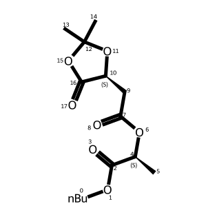 CCCCOC(=O)[C@H](C)OC(=O)C[C@@H]1OC(C)(C)OC1=O